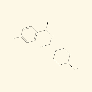 CN[C@H]1CC[C@H](C(P)N[C@H](C)c2ccc(F)cc2)CC1